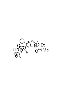 CCCc1nc(CC)c(C(=O)NC)n1Cc1ccc(-c2ccccc2C(OCCF)S(=O)(=O)Nc2noc(C)c2C)cc1